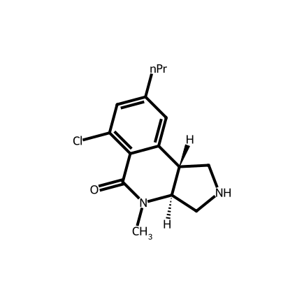 CCCc1cc(Cl)c2c(c1)[C@@H]1CNC[C@H]1N(C)C2=O